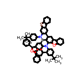 CC(C)(C)c1ccc(N2B3c4cc5c(-c6ccccc6)oc(-c6ccccc6)c5cc4N(c4ccc(C(C)(C)C)cc4-c4ccccc4)c4c3c(cc3c4oc4ccccc43)-c3cc4c(cc32)sc2ccccc24)cc1